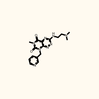 CN(C)CCNc1nnc2c(n1)c(=O)n(C)c(=O)n2Cc1cccnc1